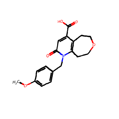 COc1ccc(Cn2c3c(c(C(=O)O)cc2=O)CCOCC3)cc1